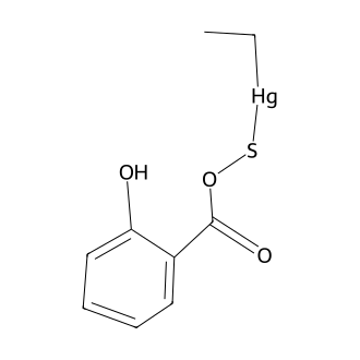 C[CH2][Hg][S]OC(=O)c1ccccc1O